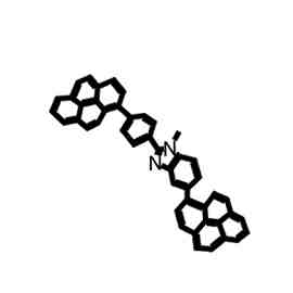 Cn1c(-c2ccc(-c3ccc4ccc5cccc6ccc3c4c56)cc2)nc2cc(-c3ccc4ccc5cccc6ccc3c4c56)ccc21